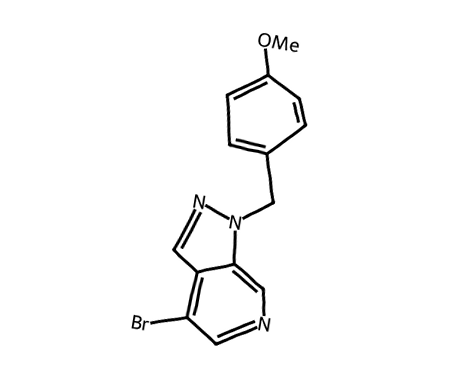 COc1ccc(Cn2ncc3c(Br)cncc32)cc1